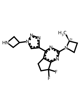 C[C@H]1CCN1c1nc(-c2cn(C3CNC3)nn2)c2c(n1)C(F)(F)CC2